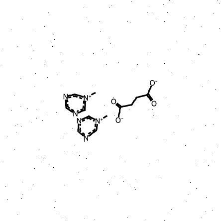 C[n+]1cncnc1.C[n+]1cncnc1.O=C([O-])CCC(=O)[O-]